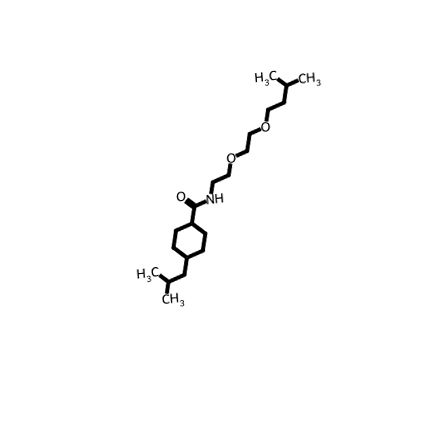 CC(C)CCOCCOCCNC(=O)C1CCC(CC(C)C)CC1